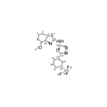 COc1cccc2sc(Nc3nnc(-c4cccc(C(F)(F)F)c4)o3)nc12